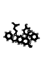 CN(C)CCOc1nc2c(C(O)(CCN(C)C)c3ccccc3)cc(Br)cc2cc1Cc1ccccc1